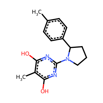 Cc1ccc(C2CCCN2c2nc(O)c(C)c(O)n2)cc1